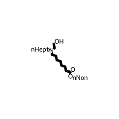 CCCCCCCCCOC(=O)CCCCCCCN(CCO)CCCCCCC